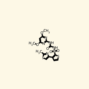 COc1cc(OC)nc(NC(=O)NS(=O)(=O)c2sccc2-c2csc(C)n2)n1